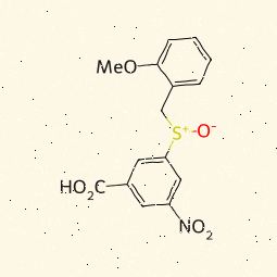 COc1ccccc1C[S+]([O-])c1cc(C(=O)O)cc([N+](=O)[O-])c1